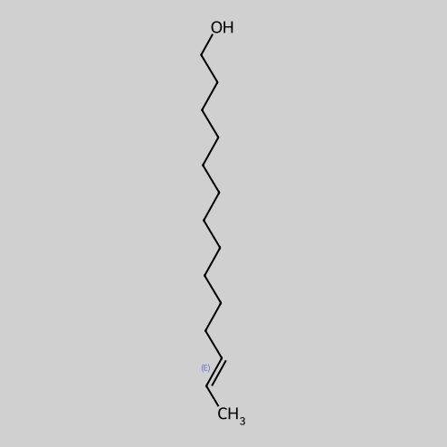 C/C=C/CCCCCCCCCCCO